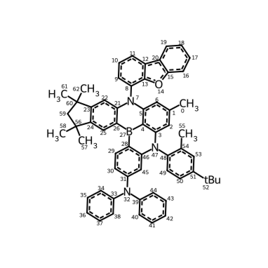 Cc1cc2c3c(c1)N(c1cccc4c1oc1ccccc14)c1cc4c(cc1B3c1ccc(N(c3ccccc3)c3ccccc3)cc1N2c1ccc(C(C)(C)C)cc1C)C(C)(C)CC4(C)C